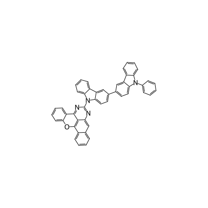 c1ccc(-n2c3ccccc3c3cc(-c4ccc5c(c4)c4ccccc4n5-c4nc5c6c(c7ccccc7cc6n4)Oc4ccccc4-5)ccc32)cc1